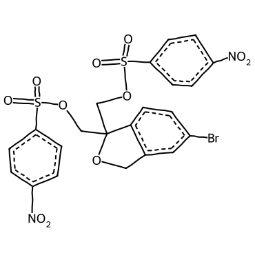 O=[N+]([O-])c1ccc(S(=O)(=O)OCC2(COS(=O)(=O)c3ccc([N+](=O)[O-])cc3)OCc3cc(Br)ccc32)cc1